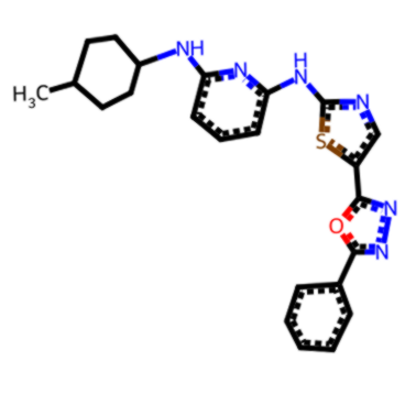 CC1CCC(Nc2cccc(Nc3ncc(-c4nnc(-c5ccccc5)o4)s3)n2)CC1